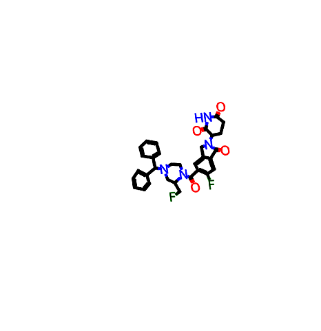 O=C1CCC(N2Cc3cc(C(=O)N4CCN(C(c5ccccc5)c5ccccc5)CC4CF)c(F)cc3C2=O)C(=O)N1